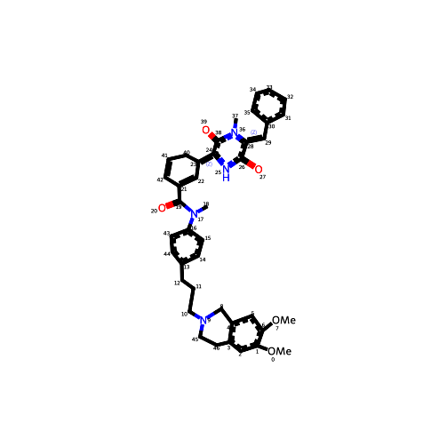 COc1cc2c(cc1OC)CN(CCCc1ccc(N(C)C(=O)C3=C/C(=c4\[nH]c(=O)/c(=C/c5ccccc5)n(C)c4=O)CC=C3)cc1)CC2